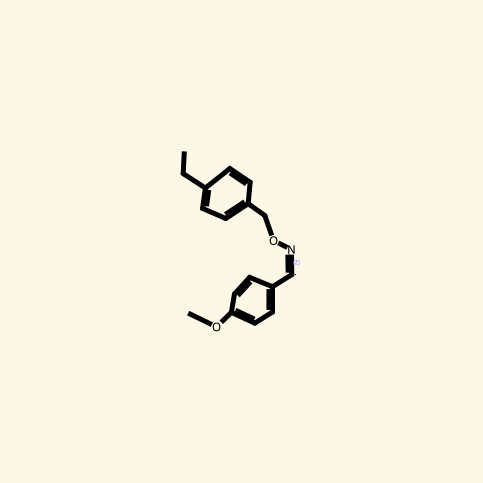 CCc1ccc(CO/N=[C]\c2ccc(OC)cc2)cc1